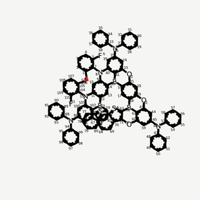 Fc1cccc(F)c1N1c2cc3c(cc2B2c4cc5c(cc4Oc4cc(N(c6ccccc6)c6ccccc6)cc1c42)Oc1cc(N(c2ccccc2)c2ccccc2)cc2c1B5c1sc4ccccc4c1O2)B1c2sc4ccccc4c2Oc2cc(N(c4ccccc4)c4ccccc4)cc(c21)N3c1c(F)cccc1F